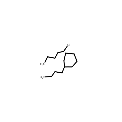 CCCCC1CCCCC1.CCCCCCl